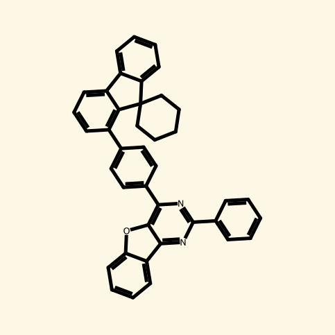 c1ccc(-c2nc(-c3ccc(-c4cccc5c4C4(CCCCC4)c4ccccc4-5)cc3)c3oc4ccccc4c3n2)cc1